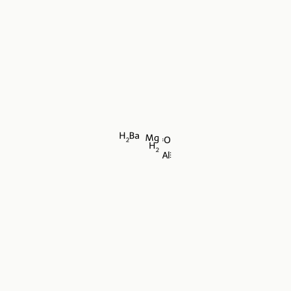 [Al].[BaH2].[MgH2].[O]